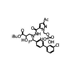 CC(=O)c1cc(C(=O)NN(CC(O)C(=O)OCC(C)C)[C@H](F)c2ccc(-c3cccc(Cl)c3)cc2)n(COP(=O)(O)O)n1